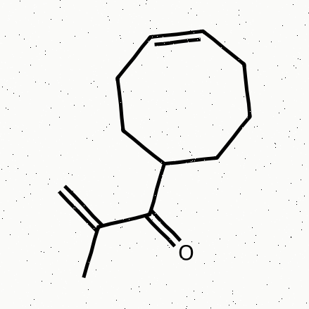 C=C(C)C(=O)C1CCC=CCCC1